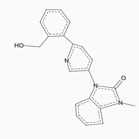 Cn1c(=O)n(-c2ccc(-c3ccccc3CO)nc2)c2ccccc21